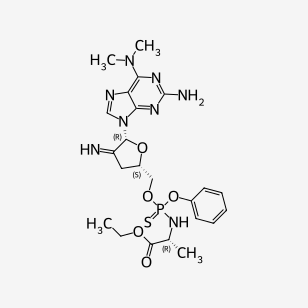 CCOC(=O)[C@@H](C)NP(=S)(OC[C@@H]1CC(=N)[C@H](n2cnc3c(N(C)C)nc(N)nc32)O1)Oc1ccccc1